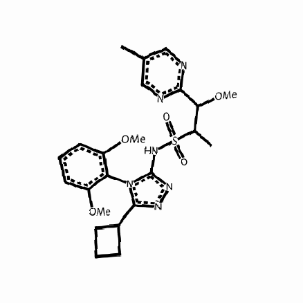 COc1cccc(OC)c1-n1c(NS(=O)(=O)C(C)C(OC)c2ncc(C)cn2)nnc1C1CCC1